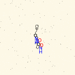 O=C(c1cc2cc(CCC3=CC4=C(C=CCC4)C3)ccc2[nH]1)N1CCc2c1cc1c3c2C=CCC3NCO1